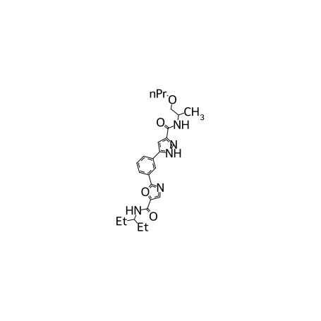 CCCOCC(C)NC(=O)c1cc(-c2cccc(-c3ncc(C(=O)NC(CC)CC)o3)c2)[nH]n1